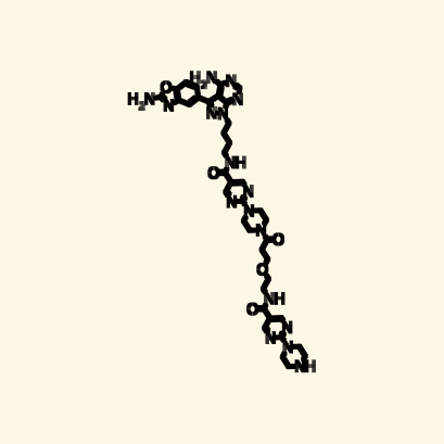 Nc1nc2cc(-c3nn(CCCCNC(=O)c4cnc(N5CCN(C(=O)CCOCCNC(=O)c6cnc(N7CCNCC7)nc6)CC5)nc4)c4ncnc(N)c34)ccc2o1